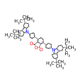 CC(C)(C)c1ccc2c(c1)c1cc(C(C)(C)C)ccc1n2-c1ccc(-c2ccc(-c3ccc(-n4c5ccc(C(C)(C)C)cc5c5cc(C(C)(C)C)ccc54)cc3)c3c2C(=O)OC3=O)cc1